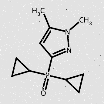 Cc1cc(P(=O)(C2CC2)C2CC2)nn1C